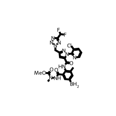 Bc1cc(C)c(NC(=O)c2cc(Cn3nnc(C(F)F)n3)nn2-c2ncccc2Cl)c(C(=O)NN(C)C(=O)OC)c1